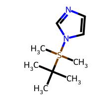 CC(C)(C)S(C)(C)n1ccnc1